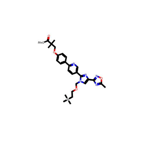 COC(=O)C(C)(C)COc1ccc(-c2ccc(-c3nc(-c4noc(C)n4)cn3COCC[Si](C)(C)C)cn2)cc1